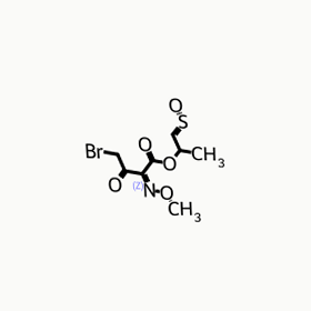 CO/N=C(/C(=O)CBr)C(=O)OC(C)C=S=O